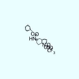 O=C(N[C@H]1CCc2nc(OS(=O)(=O)C(F)(F)F)ccc2C1)OCc1ccccc1